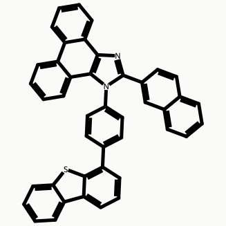 c1ccc2cc(-c3nc4c5ccccc5c5ccccc5c4n3-c3ccc(-c4cccc5c4sc4ccccc45)cc3)ccc2c1